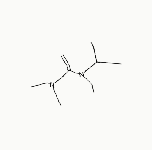 C=C(N(C)C)N(C)C(C)C